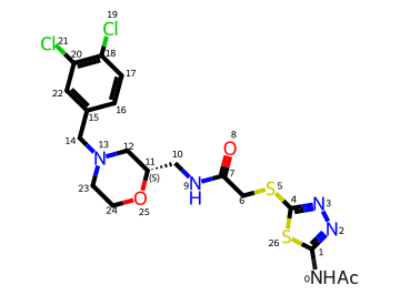 CC(=O)Nc1nnc(SCC(=O)NC[C@H]2CN(Cc3ccc(Cl)c(Cl)c3)CCO2)s1